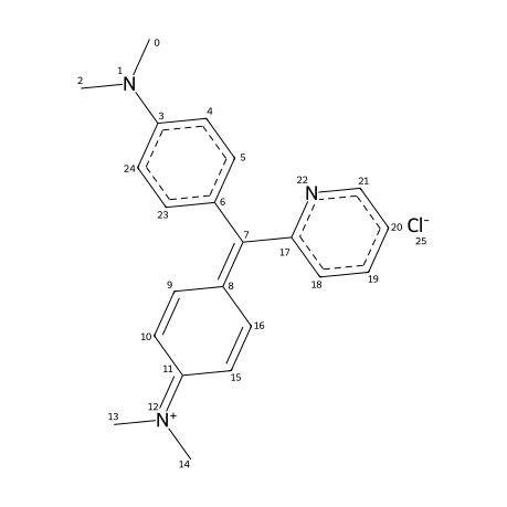 CN(C)c1ccc(C(=C2C=CC(=[N+](C)C)C=C2)c2ccccn2)cc1.[Cl-]